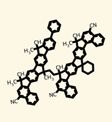 CC1(C)c2cc(-c3ccccc3)ccc2-c2cc3c(cc21)-c1cc2c(cc1C3(C)CCC1(C)c3cc4c(cc3-c3c1cc(C#N)c1ccccc31)C1(CCCCC1)c1cc3c(cc1-4)C(C)(C)c1cc(C#N)c4ccccc4c1-3)-c1c(cc(C#N)c3ccccc13)C2(C)C